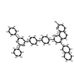 Cc1ccc2ccc3c(-c4ccc5ccccc5c4)cc(-c4ccc(-c5ccc(-c6cc(-c7ccccc7)nc(-c7ccccc7)n6)cc5)cc4)nc3c2n1